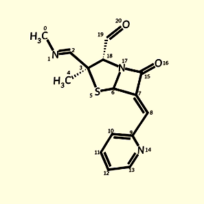 C/N=C/[C@]1(C)SC2/C(=C\c3ccccn3)C(=O)N2[C@H]1C=O